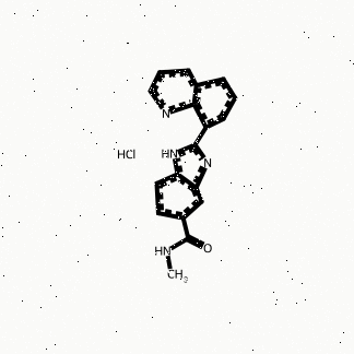 CNC(=O)c1ccc2[nH]c(-c3cccc4cccnc34)nc2c1.Cl